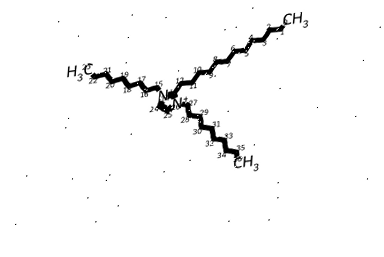 CCCCCCCCCCCCCc1n(CCCCCCCCC)cc[n+]1CCCCCCCCCC